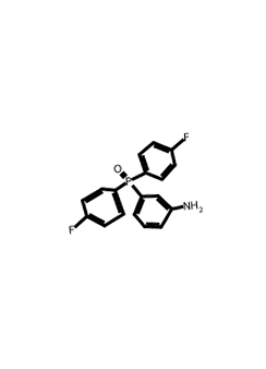 Nc1cccc(P(=O)(c2ccc(F)cc2)c2ccc(F)cc2)c1